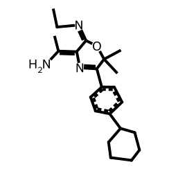 CC/N=C1/OC(C)(C)C(c2ccc(C3CCCCC3)cc2)=N/C1=C(/C)N